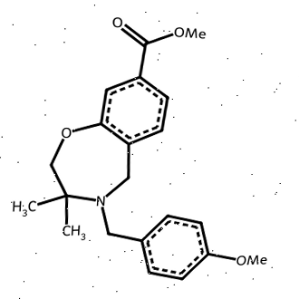 COC(=O)c1ccc2c(c1)OCC(C)(C)N(Cc1ccc(OC)cc1)C2